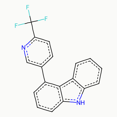 FC(F)(F)c1ccc(-c2cccc3[nH]c4ccccc4c23)cn1